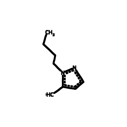 [CH]c1ccnn1CCCC